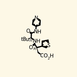 CC(C)(C)[C@H](NC(=O)[C@H](CC(=O)O)c1ccsc1)C(=O)Nc1ccncc1